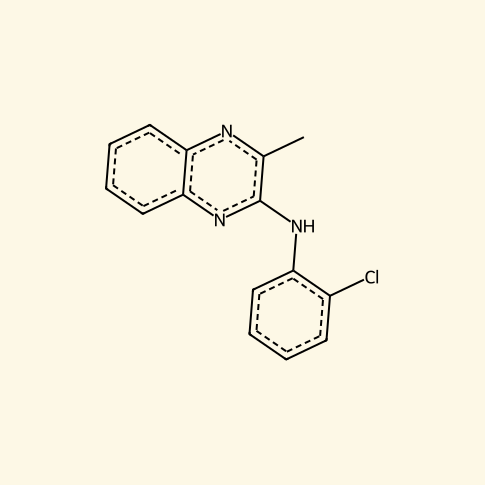 Cc1nc2ccccc2nc1Nc1ccccc1Cl